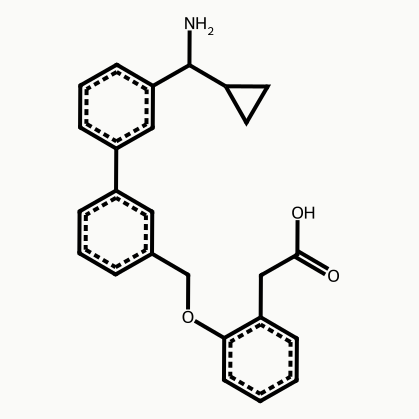 NC(c1cccc(-c2cccc(COc3ccccc3CC(=O)O)c2)c1)C1CC1